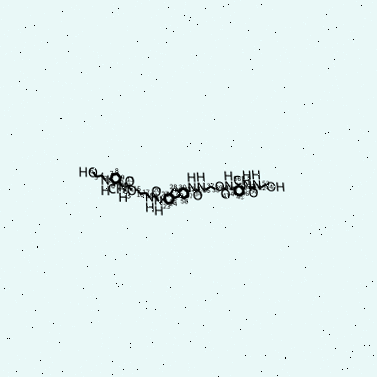 Cc1c(NCCO)cccc1NC(=O)OCCCNC(=O)Nc1ccc2c(c1)Cc1cc(NC(=O)NCCCOC(=O)Nc3cccc(NC(=O)NCCO)c3C)ccc1-2